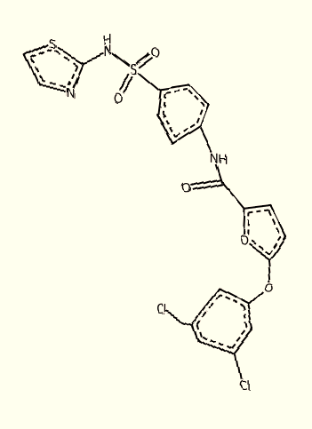 O=C(Nc1ccc(S(=O)(=O)Nc2nccs2)cc1)c1ccc(Oc2cc(Cl)cc(Cl)c2)o1